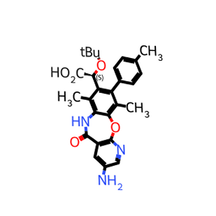 Cc1ccc(-c2c(C)c3c(c(C)c2[C@H](OC(C)(C)C)C(=O)O)NC(=O)c2cc(N)cnc2O3)cc1